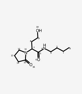 CCCCNC(=O)C(CCO)N1CCCC1=O